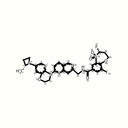 C[C@@H]1CCN1c1cnc2c(c1)OCCN2c1ccc2cnc(CNC(=O)c3cc(F)c4c(c3)S(=O)(=O)[C@@H](F)CCO4)cc2n1